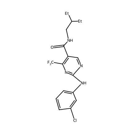 CCC(CC)CNC(=O)c1cnc(Nc2cccc(Cl)c2)nc1C(F)(F)F